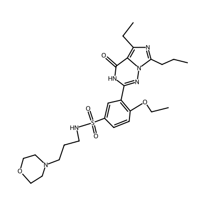 CCCc1nc(CC)c2c(=O)[nH]c(-c3cc(S(=O)(=O)NCCCN4CCOCC4)ccc3OCC)nn12